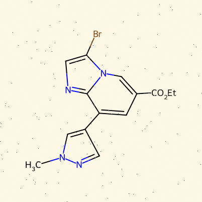 CCOC(=O)c1cc(-c2cnn(C)c2)c2ncc(Br)n2c1